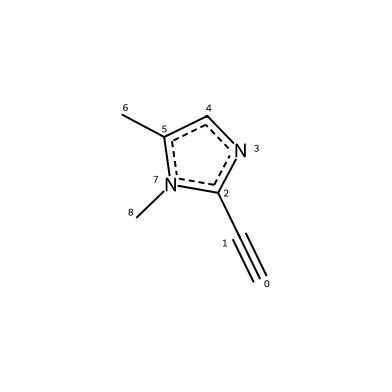 C#Cc1ncc(C)n1C